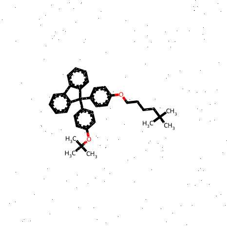 CC(C)(C)CCCCOc1ccc(C2(c3ccc(OC(C)(C)C)cc3)c3ccccc3-c3ccccc32)cc1